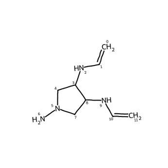 C=CNC1CN(N)CC1NC=C